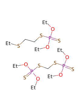 CCOP(=S)(OCC)SCCSCC.CCOP(=S)(OCC)SCSP(=S)(OCC)OCC